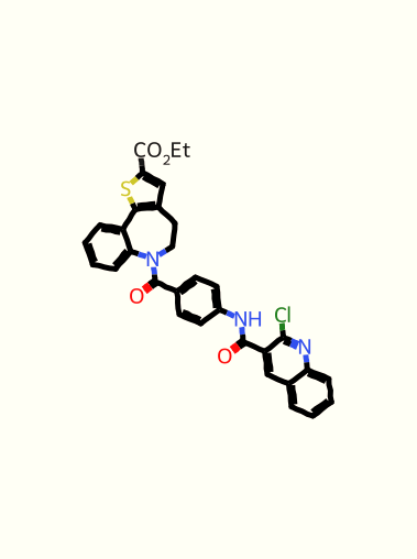 CCOC(=O)c1cc2c(s1)-c1ccccc1N(C(=O)c1ccc(NC(=O)c3cc4ccccc4nc3Cl)cc1)CC2